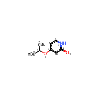 CCCCC(CCCC)Oc1cc[nH]c(=O)c1